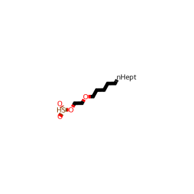 CCCCCCCCCCCCOCCO[SH](=O)=O